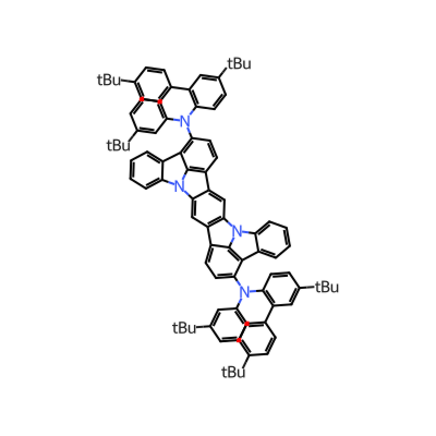 CC(C)(C)c1ccc(-c2cc(C(C)(C)C)ccc2N(c2cccc(C(C)(C)C)c2)c2ccc3c4cc5c(cc4n4c6ccccc6c2c34)c2ccc(N(c3cccc(C(C)(C)C)c3)c3ccc(C(C)(C)C)cc3-c3ccc(C(C)(C)C)cc3)c3c4ccccc4n5c23)cc1